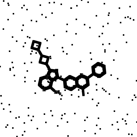 Cc1cc(-c2ccccc2)nc2cc(-c3nc(C4CC(N5CCC5)C4)n4ccnc(N)c34)ccc12